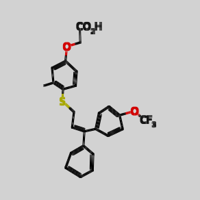 Cc1cc(OCC(=O)O)ccc1SCC=C(c1ccccc1)c1ccc(OC(F)(F)F)cc1